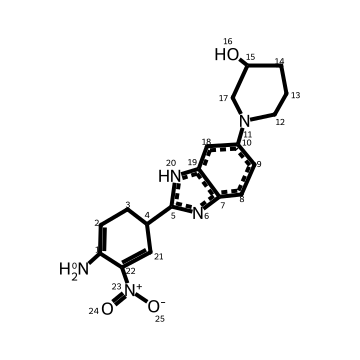 NC1=CCC(c2nc3ccc(N4CCCC(O)C4)cc3[nH]2)C=C1[N+](=O)[O-]